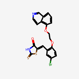 O=C1NC(=S)SC1=Cc1cc(Br)ccc1OCCOc1cccc2cnccc12